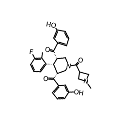 Cc1c(F)cccc1[C@H]1[C@@H](C(=O)c2cccc(O)c2)CN(C(=O)C2CN(C)C2)C[C@H]1C(=O)c1cccc(O)c1